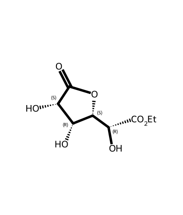 CCOC(=O)[C@H](O)[C@H]1OC(=O)[C@@H](O)[C@H]1O